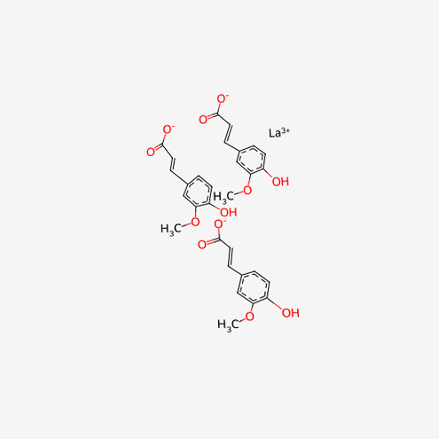 COc1cc(/C=C/C(=O)[O-])ccc1O.COc1cc(/C=C/C(=O)[O-])ccc1O.COc1cc(/C=C/C(=O)[O-])ccc1O.[La+3]